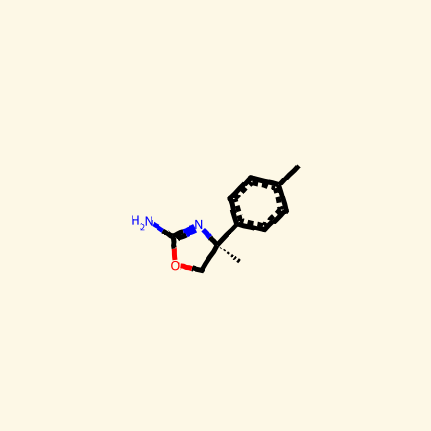 Cc1ccc([C@@]2(C)COC(N)=N2)cc1